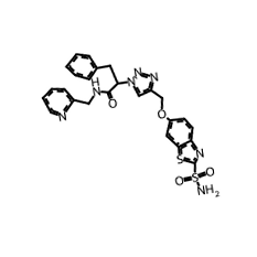 NS(=O)(=O)c1nc2ccc(OCc3cn(C(Cc4ccccc4)C(=O)NCc4ccccn4)nn3)cc2s1